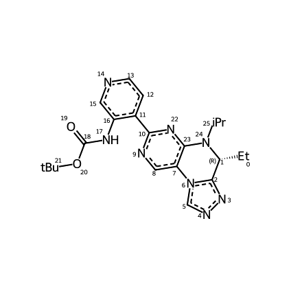 CC[C@@H]1c2nncn2-c2cnc(-c3ccncc3NC(=O)OC(C)(C)C)nc2N1C(C)C